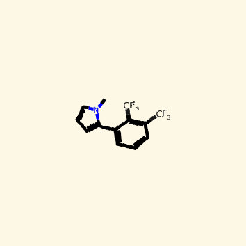 Cn1[c]ccc1-c1cccc(C(F)(F)F)c1C(F)(F)F